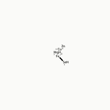 [Cu].[Fe][SeH].[MgH2].[Zn]